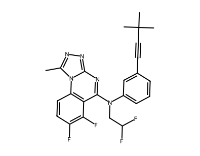 Cc1nnc2nc(N(CC(F)F)c3cccc(C#CC(C)(C)C)c3)c3c(F)c(F)ccc3n12